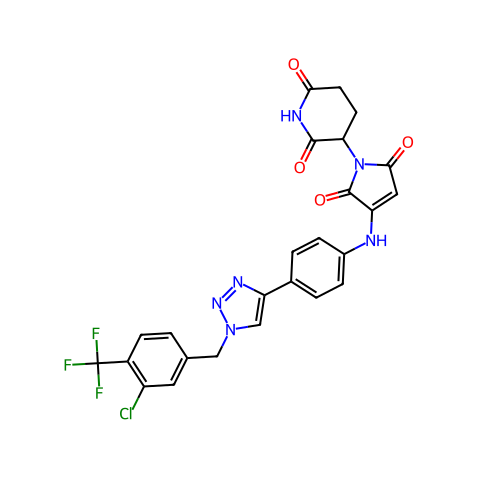 O=C1CCC(N2C(=O)C=C(Nc3ccc(-c4cn(Cc5ccc(C(F)(F)F)c(Cl)c5)nn4)cc3)C2=O)C(=O)N1